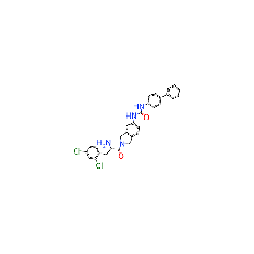 NC(Cc1ccc(Cl)cc1Cl)C(=O)N1Cc2ccc(NC(=O)Nc3ccc(-c4ccccc4)cc3)cc2C1